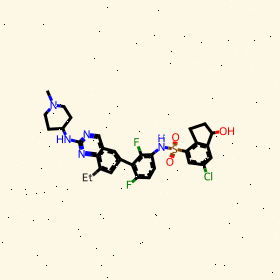 CCc1cc(-c2c(F)ccc(NS(=O)(=O)c3cc(Cl)cc4c3CCC4O)c2F)cc2cnc(NC3CCN(C)CC3)nc12